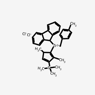 CC1=[C](/[Zr+2](=[CH]/c2ccc(C)cc2)[CH]2c3ccccc3-c3ccccc32)C(C)C=C1[Si](C)(C)C.[Cl-].[Cl-]